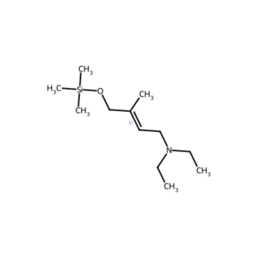 CCN(CC)C/C=C(\C)CO[Si](C)(C)C